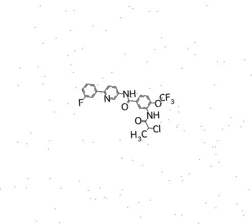 CC(Cl)C(=O)Nc1cc(C(=O)Nc2ccc(-c3cccc(F)c3)nc2)ccc1OC(F)(F)F